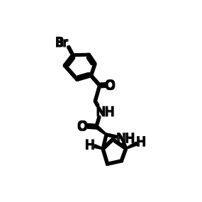 O=C(CNC(=O)[C@H]1N[C@@H]2CC[C@H]1C2)c1ccc(Br)cc1